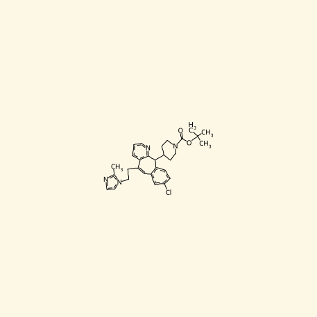 Cc1nccn1CCC1=Cc2cc(Cl)ccc2C(C2CCN(C(=O)OC(C)(C)C)CC2)c2ncccc21